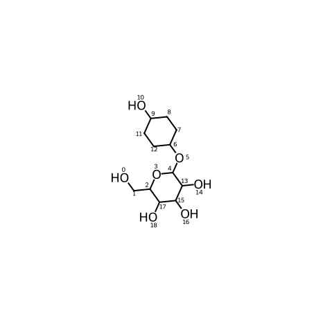 OCC1OC(OC2CCC(O)CC2)C(O)C(O)C1O